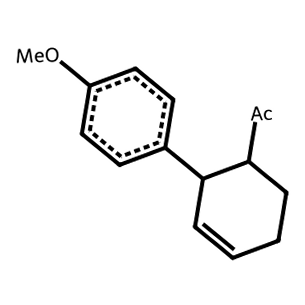 COc1ccc(C2C=CCCC2C(C)=O)cc1